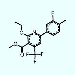 CCOc1nc(-c2ccc(C)c(F)c2)cc(C(F)(F)F)c1C(=O)OC